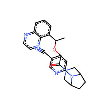 CC(OCC(=O)N1CC2CCC(C1)N2c1ccc(C#N)cn1)c1cccc2nccnc12